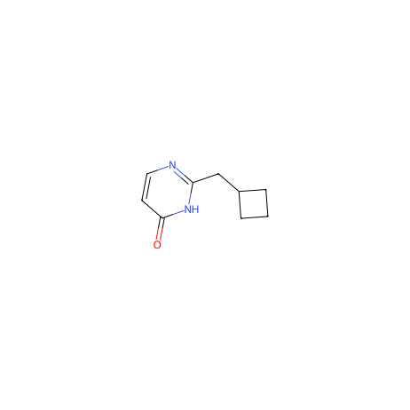 O=c1ccnc(CC2CCC2)[nH]1